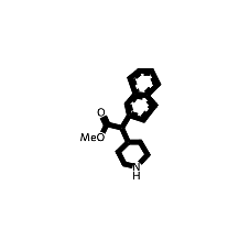 COC(=O)C(c1ccc2ccccc2c1)C1CCNCC1